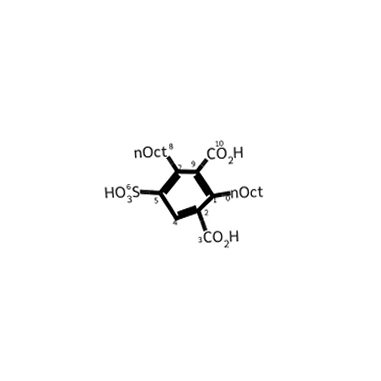 CCCCCCCCc1c(C(=O)O)cc(S(=O)(=O)O)c(CCCCCCCC)c1C(=O)O